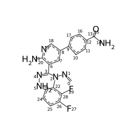 C=NN(/C(=N\N)c1cc(-c2ccc(C(N)=O)cc2)cnc1N)c1cccc(F)c1F